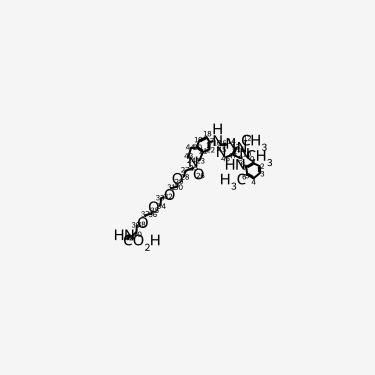 Cc1cccc(C)c1Nc1nn(C)c2nc(Nc3ccc4c(c3)CN(C(=O)CCOCCOCCOCCOCCNC(=O)O)CC4)ncc12